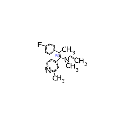 C=CN(C)/C(=C(\C)c1ccc(F)cc1)c1ccnc(C)c1